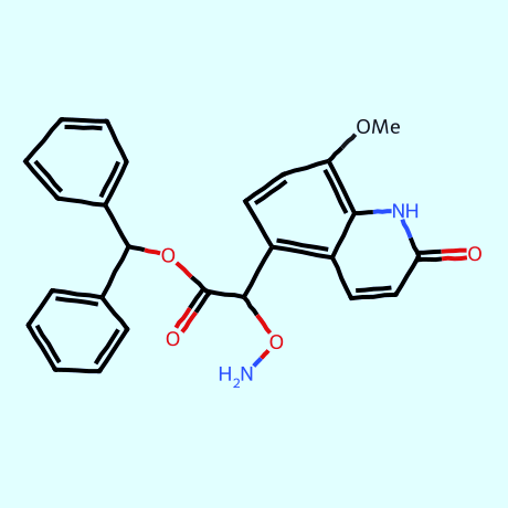 COc1ccc(C(ON)C(=O)OC(c2ccccc2)c2ccccc2)c2ccc(=O)[nH]c12